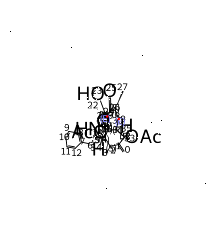 C=C1[C@@H](C)[C@H]2[C@H](Cc3ccccc3)NC(=O)[C@]23[C@H](OC(C)=O)/C=C/[C@@](C)(O)C(=O)[C@@H](C)C/C=C/[C@H]3[C@@H]1OC(C)=O